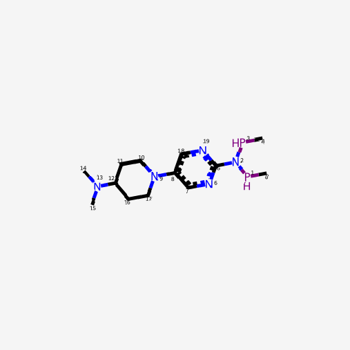 CPN(PC)c1ncc(N2CCC(N(C)C)CC2)cn1